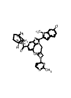 COc1cc(C(=O)N2C[C@H]3CC[C@@H]2[C@@H]3N)cc2nc(-c3cc4ccc(Cl)cc4n3C)n(CC3CN(c4ccnc(C)n4)C3)c12